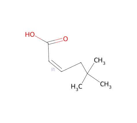 CC(C)(C)C/C=C\C(=O)O